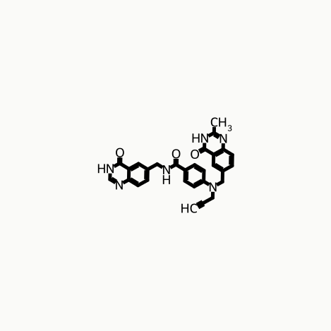 C#CCN(Cc1ccc2nc(C)[nH]c(=O)c2c1)c1ccc(C(=O)NCc2ccc3nc[nH]c(=O)c3c2)cc1